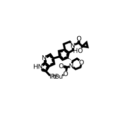 CC(C)c1c[nH]c2ncc(-c3cc4c(c([C@@H]5COCCN5C(=O)OC(C)(C)C)c3)CN(C(=O)C3(O)CC3)CC4)cc12